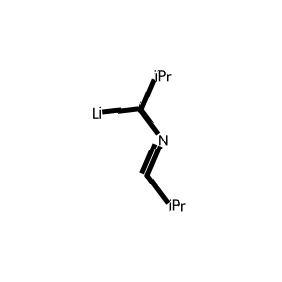 [Li][CH](N=CC(C)C)C(C)C